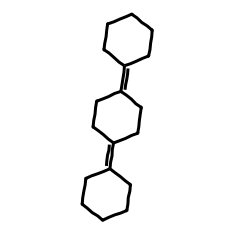 C1CCC(=C2CCC(=C3CCCCC3)CC2)CC1